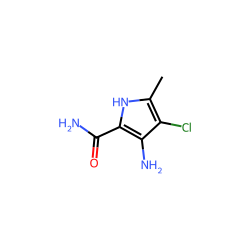 Cc1[nH]c(C(N)=O)c(N)c1Cl